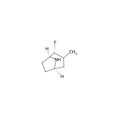 CC1C[C@H]2CC[C@H](N2)[C@@H]1F